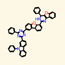 C1=CC2c3cc(-c4nc(-c5ccccc5)nc(-c5ccc6c7ccccc7n(-c7ccccc7)c6c5)n4)ccc3OC2C(C2=Nc3c(oc4ccccc34)C(c3ccccc3)N2)=C1